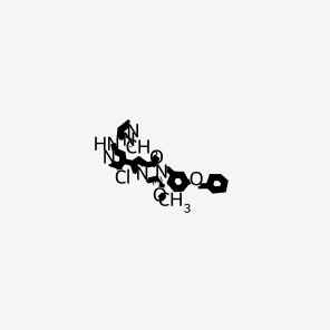 COC[C@H]1Cn2cc(-c3cc(Nc4ccnn4C)ncc3Cl)cc2C(=O)N1Cc1cccc(OCc2ccccc2)c1